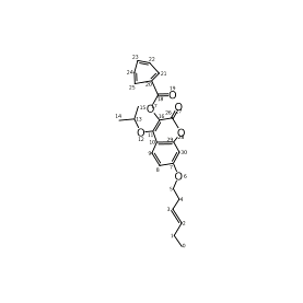 CCC=CCCOc1ccc2c(OC(C)C)c(OC(=O)c3ccccc3)c(=O)oc2c1